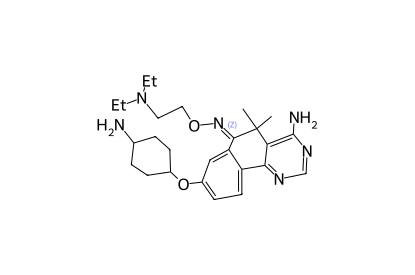 CCN(CC)CCO/N=C1\c2cc(OC3CCC(N)CC3)ccc2-c2ncnc(N)c2C1(C)C